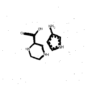 Nc1cc[nH]c1.O=C(O)C1CNCCN1